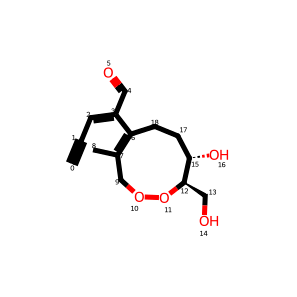 C#C/C=C(C=O)\C1=C(/C)COO[C@H](CO)[C@@H](O)CC1